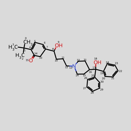 CC(C)(C)C1=CC=C(C(O)CCCN2CCC(C(O)(c3ccccc3)c3ccccc3)CC2)CC1=O